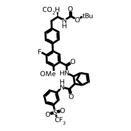 COc1cc(F)c(-c2ccc(C[C@H](NC(=O)OC(C)(C)C)C(=O)O)cc2)cc1C(=O)NC1C2C=CC(C2)C1C(=O)Nc1cccc(S(=O)(=O)C(F)(F)F)c1